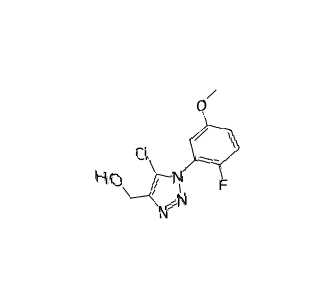 COc1ccc(F)c(-n2nnc(CO)c2Cl)c1